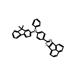 CC1(C)c2ccccc2-c2ccc(N(c3ccccc3)c3ccc(-c4nc5c(s4)-c4cccc6cccc-5c46)cc3)cc21